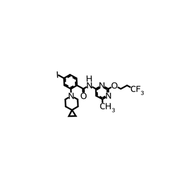 Cc1cc(NC(=O)c2ccc(I)cc2N2CCC3(CC2)CC3)nc(OCCC(F)(F)F)n1